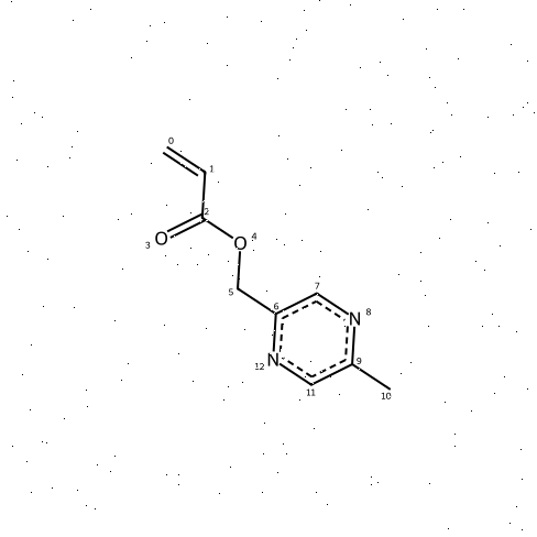 C=CC(=O)OCc1cnc(C)cn1